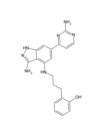 Nc1nccc(-c2cc(NCCCc3ccccc3O)c3c(N)n[nH]c3c2)n1